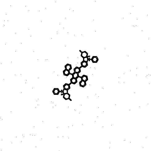 CC1CCC2(C)C(C1)c1cc(-c3ccc4c(-c5cccc6ccccc56)c5cc(-c6ccc7c(c6)C6CC(C)CCC6(C)N7c6ccccc6)ccc5c(-c5cccc6ccccc56)c4c3)ccc1N2c1ccccc1